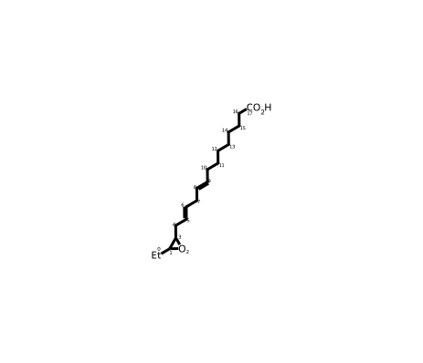 CCC1OC1C/C=C/C/C=C/CCCCCCCC(=O)O